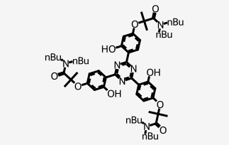 CCCCN(CCCC)C(=O)C(C)(C)Oc1ccc(-c2nc(-c3ccc(OC(C)(C)C(=O)N(CCCC)CCCC)cc3O)nc(-c3ccc(OC(C)(C)C(=O)N(CCCC)CCCC)cc3O)n2)c(O)c1